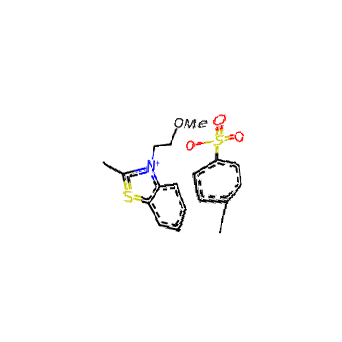 COCC[n+]1c(C)sc2ccccc21.Cc1ccc(S(=O)(=O)[O-])cc1